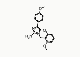 COc1ccc(-c2cn(Cc3c(Cl)cccc3OC)c(N)n2)cc1